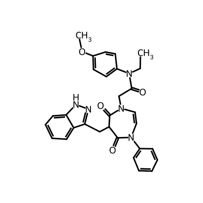 CCN(C(=O)CN1C=CN(c2ccccc2)C(=O)C(Cc2n[nH]c3ccccc23)C1=O)c1ccc(OC)cc1